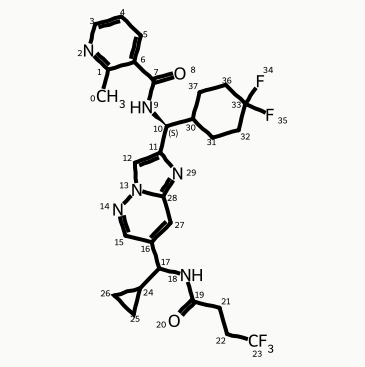 Cc1ncccc1C(=O)N[C@H](c1cn2ncc(C(NC(=O)CCC(F)(F)F)C3CC3)cc2n1)C1CCC(F)(F)CC1